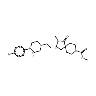 COC(=O)N1CCC2(CC1)C[C@H](CCN1CCN(c3ccc(F)cc3)[C@@H](C)C1)N(C)C2=O